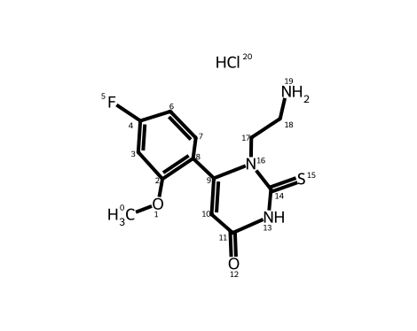 COc1cc(F)ccc1-c1cc(=O)[nH]c(=S)n1CCN.Cl